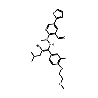 COCCOc1ccc(/C(NN(C)c2ncc(-c3cccs3)cc2C=O)=C(/S)CC(C)C)cc1F